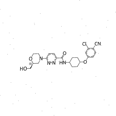 N#Cc1ccc(OC2CCC(NC(=O)c3ccc(N4CCO[C@H](CO)C4)nn3)CC2)cc1Cl